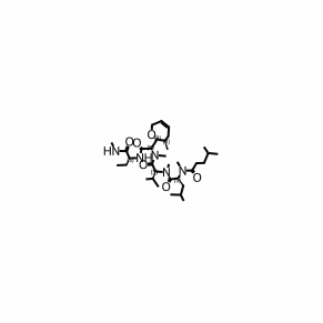 CC[C@H](NC(=O)[C@H]([C@@H]1OCC=CC[C@H]1C)N(C)C(=O)[C@H](C(C)C)N(C)C(=O)[C@H](CC(C)C)N(C)C(=O)CCC(C)C)C(=O)NC